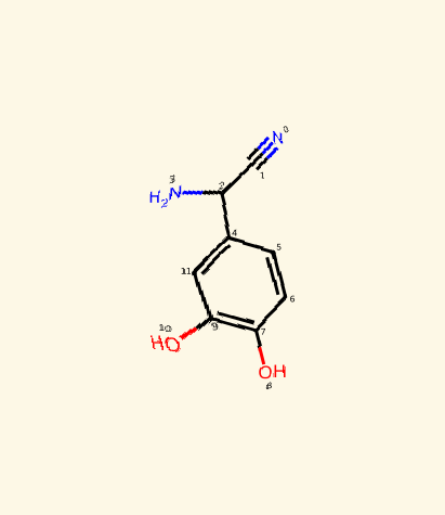 N#CC(N)c1ccc(O)c(O)c1